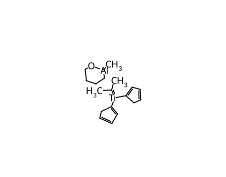 C[C](C)=[Ti]([C]1=CC=CC1)[C]1=CC=CC1.[CH3][Al]1[CH2]CCC[O]1